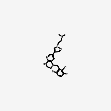 CN(C)CCn1cc(-c2cnc3c(c2)N(Cc2c(F)ccc(F)c2Cl)CCN3)cn1